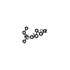 c1ccc(-c2cccc(-c3nc(-c4ccccc4)nc(-c4ccc5c(c4)sc4c(-c6ccccc6-c6cccc7c6oc6ccccc67)cccc45)n3)c2)cc1